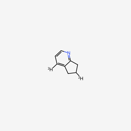 [2H]c1ccnc2c1CC([2H])C2